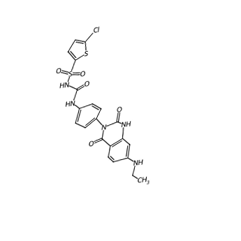 CCNc1ccc2c(=O)n(-c3ccc(NC(=O)NS(=O)(=O)c4ccc(Cl)s4)cc3)c(=O)[nH]c2c1